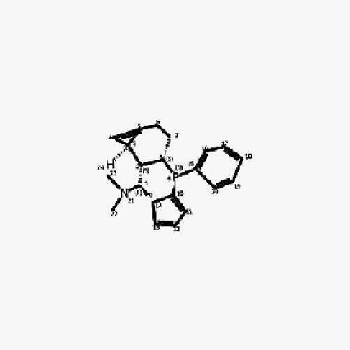 C[C@H]([C@@H]1[C@H]2C=C2CC[C@@H]1[P@](C1=CC=CC1)c1ccccc1)N(C)C